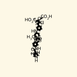 CC1(C)C[C@@H](Nc2cccc(-c3sc(C(=O)O)c(OCC(=O)O)c3Cl)c2)CCN1S(=O)(=O)Cc1cccc(NC(=O)C2[C@H]3CNC[C@@H]23)c1